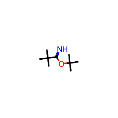 CC(C)(C)OC(=N)C(C)(C)C